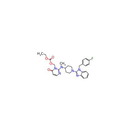 CCOC(=O)OCn1c(N(C)C2CCN(c3nc4ccccc4n3Cc3ccc(F)cc3)CC2)nccc1=O